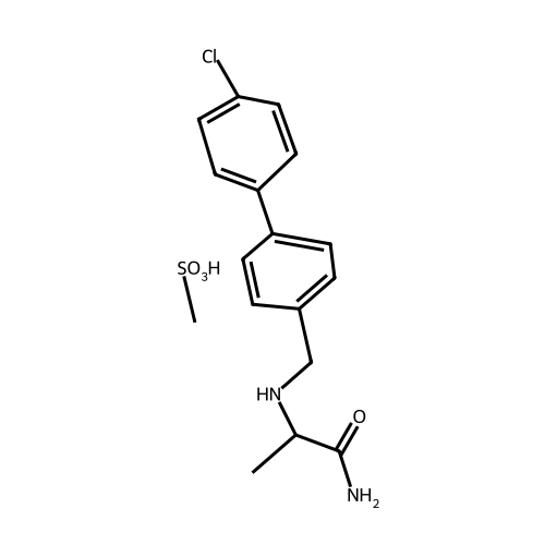 CC(NCc1ccc(-c2ccc(Cl)cc2)cc1)C(N)=O.CS(=O)(=O)O